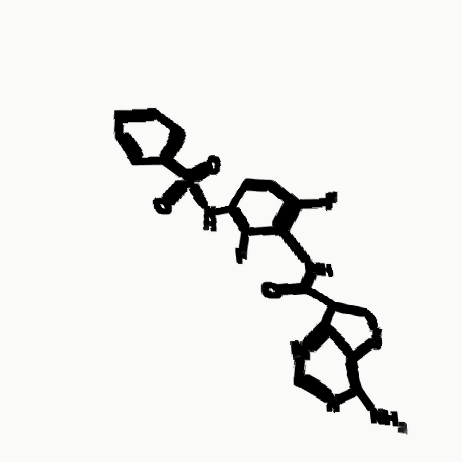 Nc1ncnc2c(C(=O)Nc3c(F)ccc(NS(=O)(=O)c4ccccc4)c3F)csc12